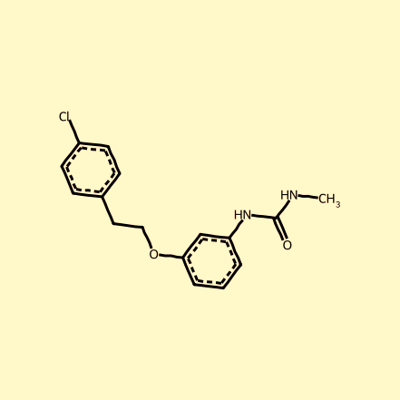 CNC(=O)Nc1cccc(OCCc2ccc(Cl)cc2)c1